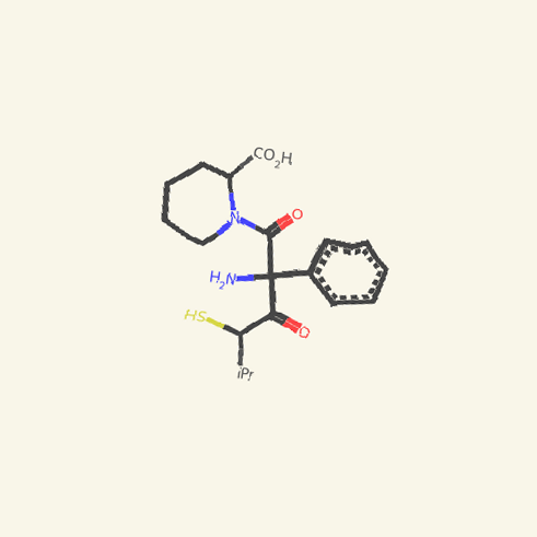 CC(C)C(S)C(=O)C(N)(C(=O)N1CCCCC1C(=O)O)c1ccccc1